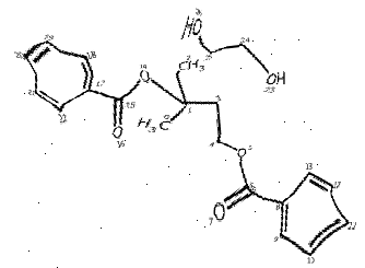 CC(C)(CCOC(=O)c1ccccc1)OC(=O)c1ccccc1.OCCO